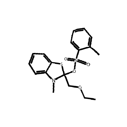 CCOCC1(OS(=O)(=O)c2ccccc2C)Sc2ccccc2N1C